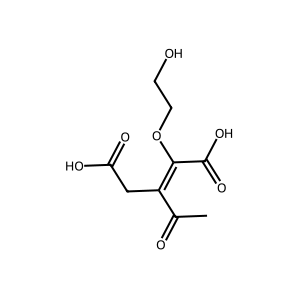 CC(=O)C(CC(=O)O)=C(OCCO)C(=O)O